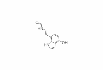 O=CNC=Cc1ccc(O)c2cc[nH]c12